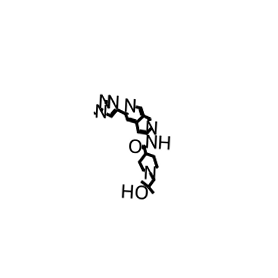 Cn1cc(-c2cc3cc(NC(=O)C4CCN(CC(C)(C)O)CC4)ncc3cn2)nn1